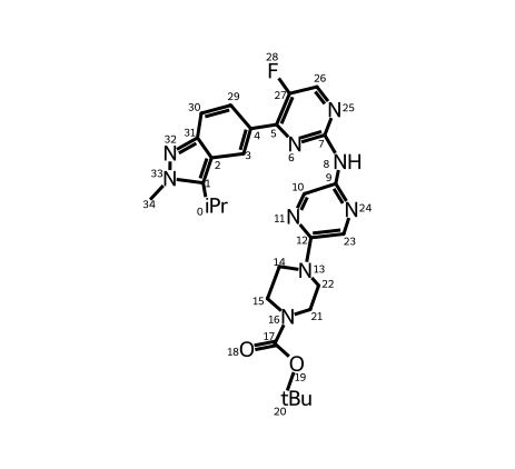 CC(C)c1c2cc(-c3nc(Nc4cnc(N5CCN(C(=O)OC(C)(C)C)CC5)cn4)ncc3F)ccc2nn1C